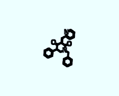 O=C1C(=Cc2ccccn2)C(=O)N(Cc2ccccc2)CC1c1ccccc1